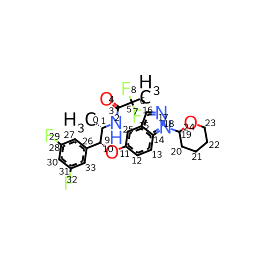 C[C@H](NC(=O)C(C)(F)F)[C@H](Oc1ccc2c(cnn2C2CCCCO2)c1)c1cc(F)cc(F)c1